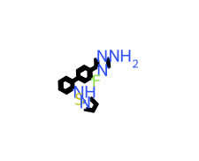 Nc1cnc(-c2ccc(-c3ccccc3NSN3CCCC3)cc2F)cn1